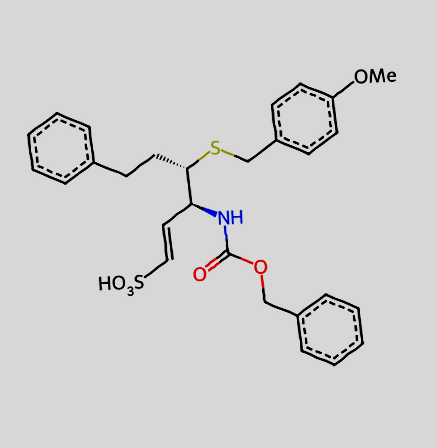 COc1ccc(CS[C@@H](CCc2ccccc2)[C@H](/C=C/S(=O)(=O)O)NC(=O)OCc2ccccc2)cc1